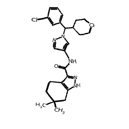 CC1(C)CCc2c(C(=O)Nc3cnn(C(c4cccc(Cl)c4)C4CCOCC4)c3)n[nH]c2C1